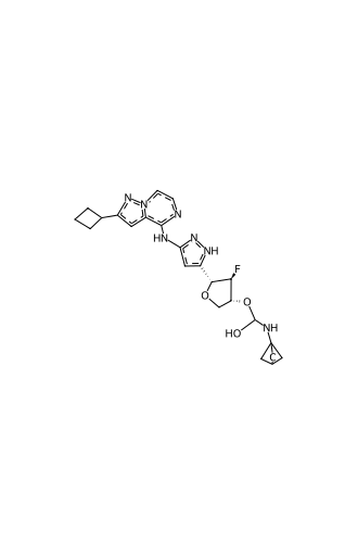 OC(NC12CC(C1)C2)O[C@@H]1CO[C@H](c2cc(Nc3nccn4nc(C5CCC5)cc34)n[nH]2)[C@H]1F